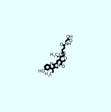 CCc1c2c(nc3ccc(O)cc13)-c1cc3c(c(=O)n1C2)COC(=O)[C@@]3(CC)OC(=O)CCC(=O)NCC(=O)O